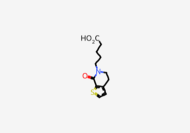 O=C(O)CCCCN1CCc2ccsc2C1=O